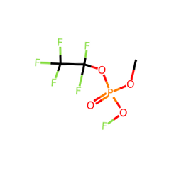 COP(=O)(OF)OC(F)(F)C(F)(F)F